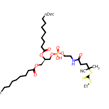 CCCCCCCCCCCCCCCCCC(=O)OC[C@H](COP(=O)(O)OCCNC(=O)CCC(C)(C#N)SC(=S)SCC)OC(=O)CCCCCCCCCCCCCCCCC